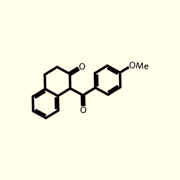 COc1ccc(C(=O)C2C(=O)CCc3ccccc32)cc1